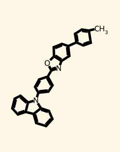 Cc1ccc(-c2ccc3oc(-c4ccc(-n5c6ccccc6c6ccccc65)cc4)nc3c2)cc1